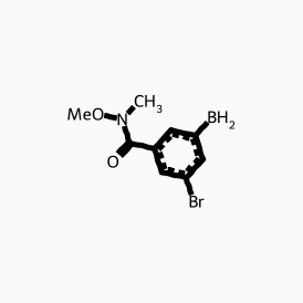 Bc1cc(Br)cc(C(=O)N(C)OC)c1